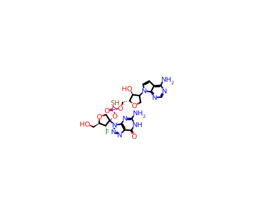 Nc1nc2c(nnn2[C@]2(OP(=O)(S)OC[C@H]3OCC(n4ccc5c(N)ncnc54)[C@@H]3O)CO[C@H](CO)[C@H]2F)c(=O)[nH]1